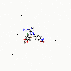 Nc1ncnc2c1nc(Sc1cc3c(cc1Br)OCO3)n2CCC1CCC(NC(=O)O)CC1